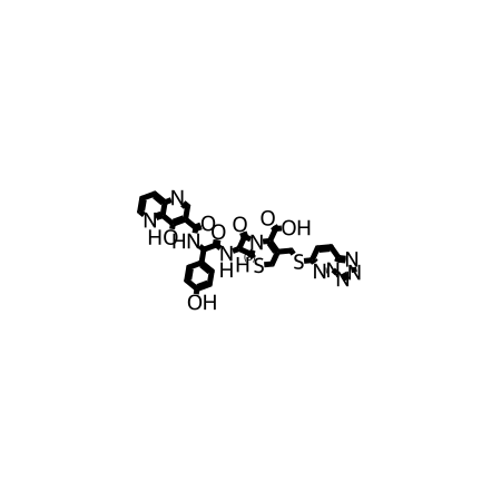 O=C(O)C1=C(CSc2ccc3nnnn3n2)CS[C@H]2C(NC(=O)C(NC(=O)c3cnc4cccnc4c3O)c3ccc(O)cc3)C(=O)N12